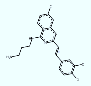 NCCCNc1nc(/C=C/c2ccc(Cl)c(Cl)c2)nc2cc(Cl)ccc12